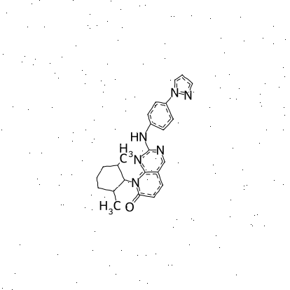 CC1CCCC(C)C1n1c(=O)ccc2cnc(Nc3ccc(-n4cccn4)cc3)nc21